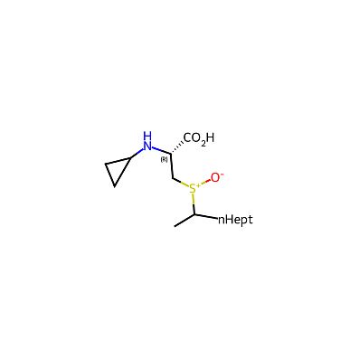 CCCCCCCC(C)[S+]([O-])C[C@H](NC1CC1)C(=O)O